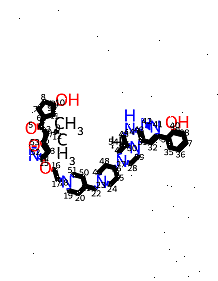 CC(C)[C@@H](C(=O)C1CC[C@@H](O)C1)c1cc(OCCN2CCC(CN3CCC(N4CCN5c6cc(-c7ccccc7O)nnc6NC[C@H]5C4)CC3)CC2)no1